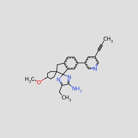 CC#Cc1cncc(-c2ccc3c(c2)C2(N=C(N)C(CC)=N2)C2(CCC(OC)CC2)C3)c1